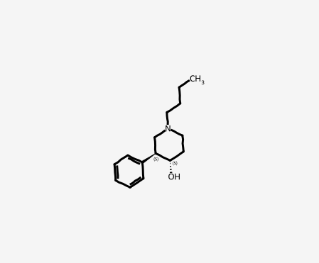 CCCCN1CC[C@H](O)[C@@H](c2ccccc2)C1